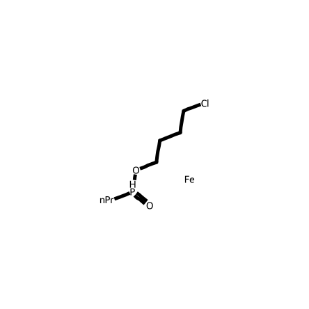 CCC[PH](=O)OCCCCCl.[Fe]